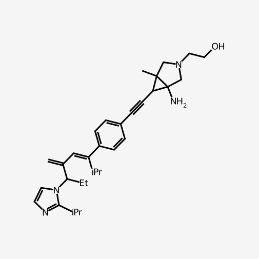 C=C(/C=C(/c1ccc(C#CC2C3(C)CN(CCO)CC23N)cc1)C(C)C)C(CC)n1ccnc1C(C)C